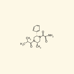 CC(C)C(=O)N1C[C@H](c2ccccc2)N(C(=O)C(N)=O)C[C@H]1C